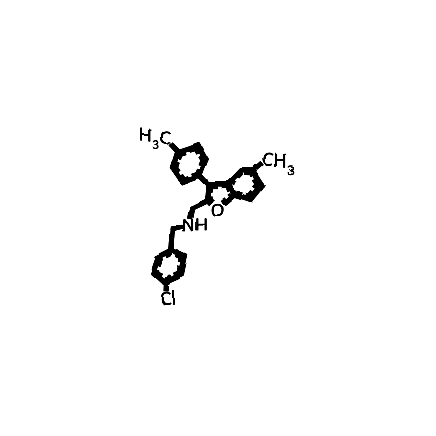 Cc1ccc(-c2c(CNCc3ccc(Cl)cc3)oc3ccc(C)cc23)cc1